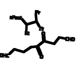 CCCCCC(CC)C(CC)C(C)C.O=CCCCC(=O)C(=O)CCC=O